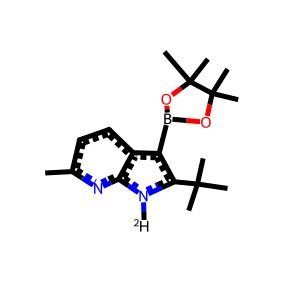 [2H]n1c(C(C)(C)C)c(B2OC(C)(C)C(C)(C)O2)c2ccc(C)nc21